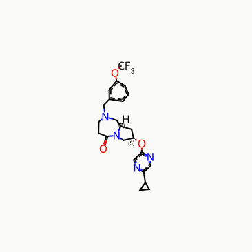 O=C1CCN(Cc2cccc(OC(F)(F)F)c2)C[C@H]2C[C@H](Oc3cnc(C4CC4)cn3)CN12